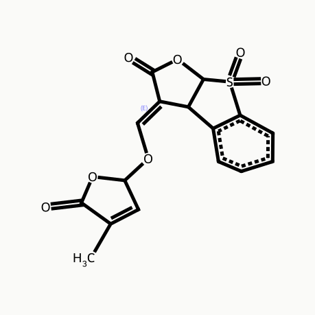 CC1=CC(O/C=C2/C(=O)OC3C2c2ccccc2S3(=O)=O)OC1=O